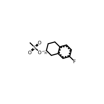 CS(=O)(=O)O[C@@H]1CCc2ccc(F)cc2C1